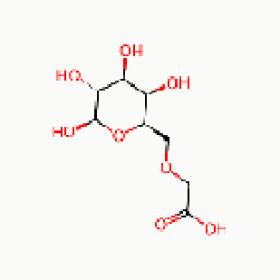 O=C(O)COC[C@H]1O[C@@H](O)[C@H](O)[C@@H](O)[C@H]1O